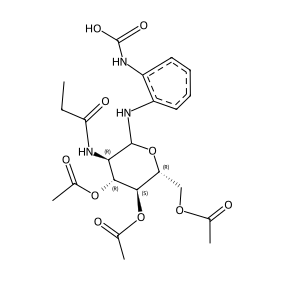 CCC(=O)N[C@H]1C(Nc2ccccc2NC(=O)O)O[C@H](COC(C)=O)[C@@H](OC(C)=O)[C@@H]1OC(C)=O